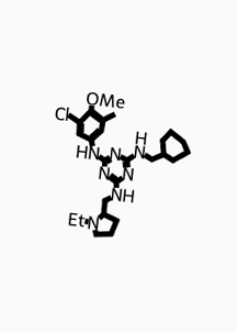 CCN1CCCC1CNc1nc(NCC2CCCCC2)nc(Nc2cc(C)c(OC)c(Cl)c2)n1